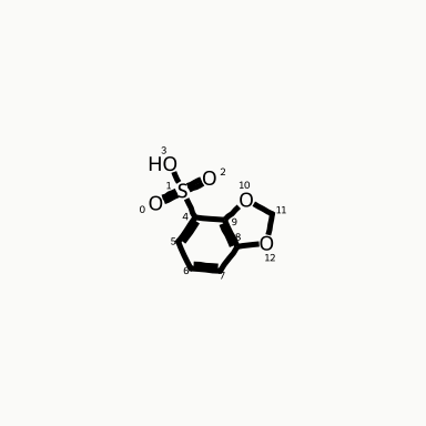 O=S(=O)(O)c1cccc2c1OCO2